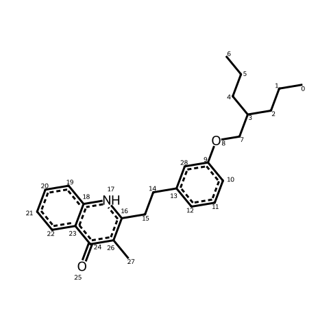 CCCC(CCC)COc1cccc(CCc2[nH]c3ccccc3c(=O)c2C)c1